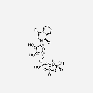 O=c1c2ccccc2c(F)cn1[C@@H]1O[C@H](COP(=O)(O)OP(=O)(O)OP(=O)(O)O)[C@@H](O)[C@H]1O